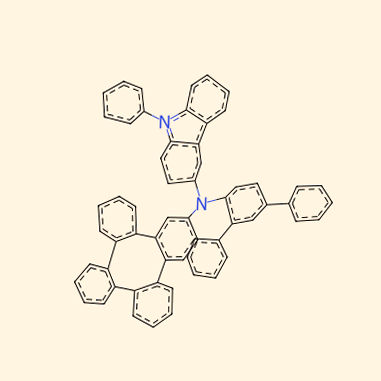 c1ccc(-c2ccc(N(c3ccc4c(c3)-c3ccccc3-c3ccccc3-c3ccccc3-4)c3ccc4c(c3)c3ccccc3n4-c3ccccc3)c(-c3ccccc3)c2)cc1